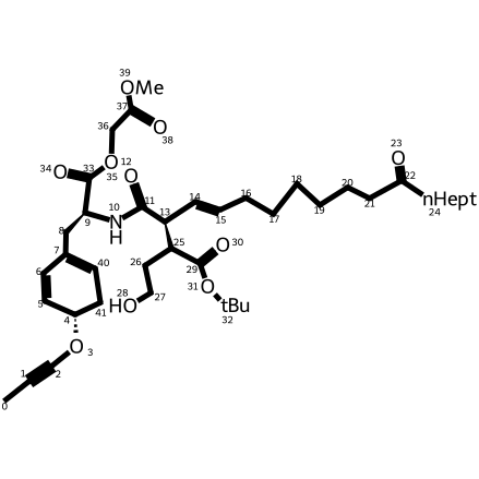 CC#CO[C@@H]1C=CC(C[C@H](NC(=O)[C@@H](/C=C/CCCCCCC(=O)CCCCCCC)C(CCO)C(=O)OC(C)(C)C)C(=O)OCC(=O)OC)=CC1